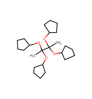 CC(OC1CCCC1)(OC1CCCC1)C(C)(OC1CCCC1)OC1CCCC1